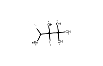 CCCCC(F)C(O)(F)C(O)(O)O